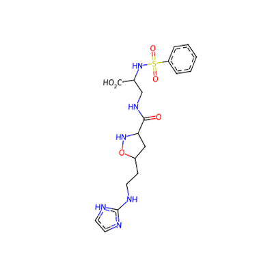 O=C(O)C(CNC(=O)C1CC(CCNc2ncc[nH]2)ON1)NS(=O)(=O)c1ccccc1